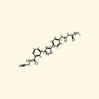 N#CCNC(=O)c1cccc(-c2cc(-c3ccc(CNCC(N)=O)cc3)on2)c1